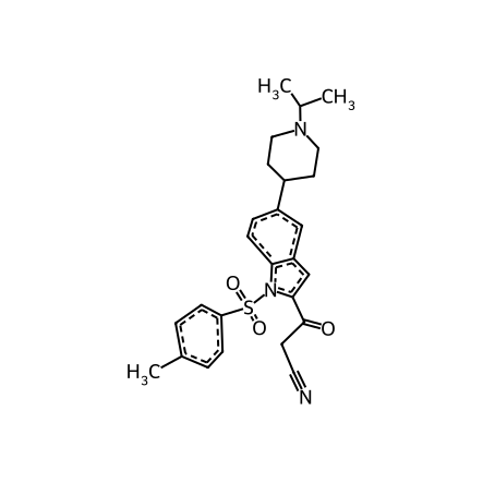 Cc1ccc(S(=O)(=O)n2c(C(=O)CC#N)cc3cc(C4CCN(C(C)C)CC4)ccc32)cc1